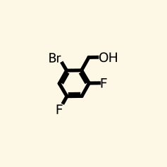 OCc1c(F)cc(F)cc1Br